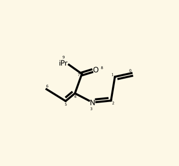 C=C/C=N\C(=C\C)C(=O)C(C)C